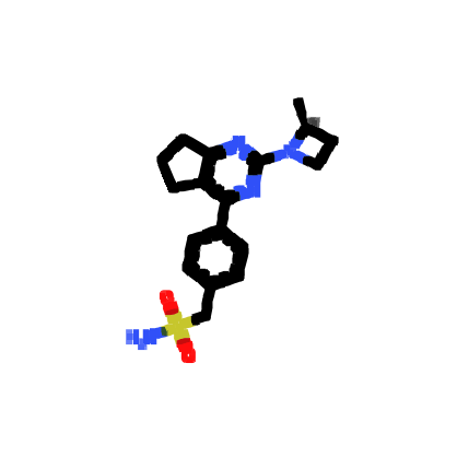 C[C@H]1CCN1c1nc2c(c(-c3ccc(CS(N)(=O)=O)cc3)n1)CCC2